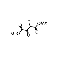 COC(=O)C(=O)C(F)C(=O)OC